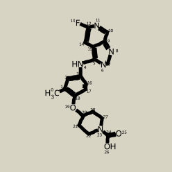 Cc1cc(Nc2ncnc3cnc(F)cc23)ccc1OC1CCN(C(=O)O)CC1